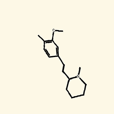 COc1cc(CCC2CCCCN2C)ccc1C